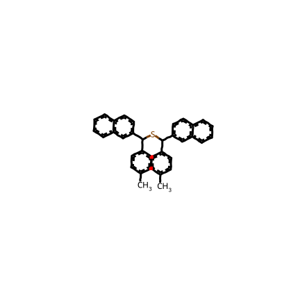 Cc1ccc(C(SC(c2ccc(C)cc2)c2ccc3ccccc3c2)c2ccc3ccccc3c2)cc1